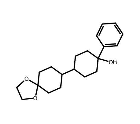 OC1(c2ccccc2)CCC(C2CCC3(CC2)OCCO3)CC1